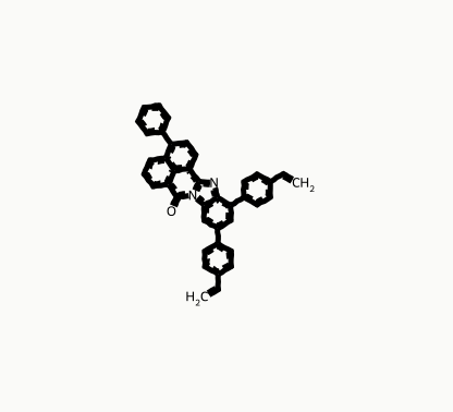 C=Cc1ccc(-c2cc(-c3ccc(C=C)cc3)c3nc4c5ccc(-c6ccccc6)c6cccc(c(=O)n4c3c2)c65)cc1